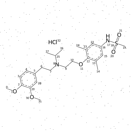 COc1ccc(CCN(CCOc2c(C)cc(NS(C)(=O)=O)cc2C)C(C)C)cc1OC.Cl